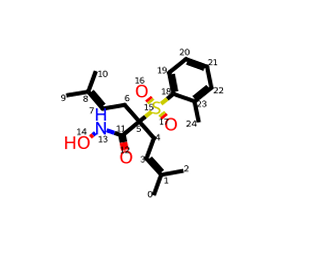 CC(C)=CCC(CC=C(C)C)(C(=O)NO)S(=O)(=O)c1ccccc1C